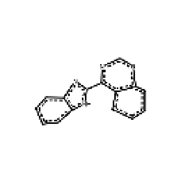 [c]1nc(-c2nc3ccccc3[nH]2)c2ccccc2n1